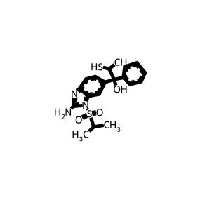 CC(S)C(O)(c1ccccc1)c1ccc2nc(N)n(S(=O)(=O)C(C)C)c2c1